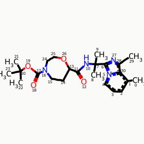 Cc1cccn2c(C(C)(C)NC(=O)C3CCN(C(=O)OC(C)(C)C)CCO3)nc(C)c12